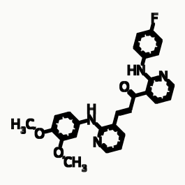 COc1ccc(Nc2ncccc2C=CC(=O)c2cccnc2Nc2ccc(F)cc2)cc1OC